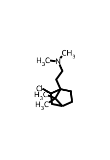 CN(C)CCC12CCC(CC1Cl)C2(C)C